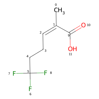 CC(=CCCC(F)(F)F)C(=O)O